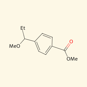 CCC(OC)c1ccc(C(=O)OC)cc1